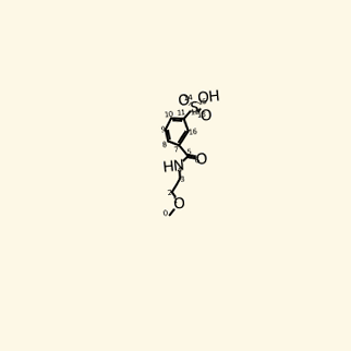 COCCNC(=O)c1cccc(S(=O)(=O)O)c1